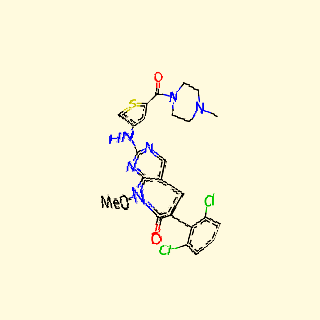 COn1c(=O)c(-c2c(Cl)cccc2Cl)cc2cnc(Nc3csc(C(=O)N4CCN(C)CC4)c3)nc21